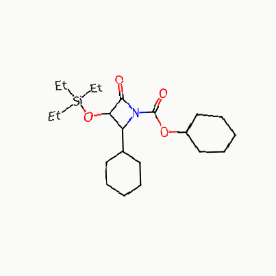 CC[Si](CC)(CC)OC1C(=O)N(C(=O)OC2CCCCC2)C1C1CCCCC1